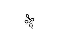 CC1CSC(=C2c3ccccc3N(c3ccccc3)c3ccccc32)SC1